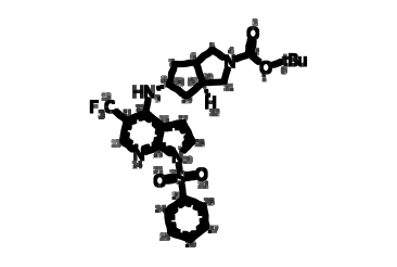 CC(C)(C)OC(=O)N1CC2C[C@@H](Nc3c(C(F)(F)F)cnc4c3ccn4S(=O)(=O)c3ccccc3)C[C@@H]2C1